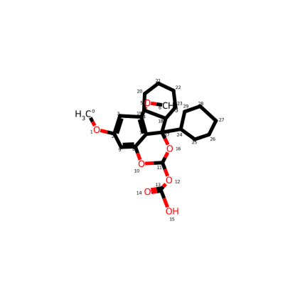 COc1cc(OC)c2c(c1)OC(OC(=O)O)OC2(C1CCCCC1)C1CCCCC1